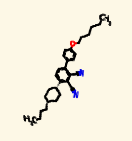 CCCCCCOc1ccc(-c2ccc([C@H]3CC[C@H](CCCC)CC3)c(C#N)c2C#N)cc1